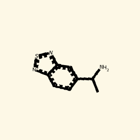 CC(N)c1ccc2nsnc2c1